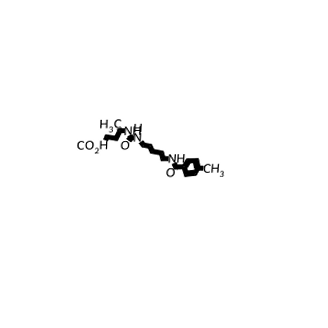 Cc1ccc(C(=O)NCCCCCNC(=O)NC(C)CCC(=O)O)cc1